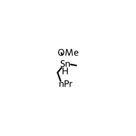 CCC[CH2][SnH]([CH3])[O]C